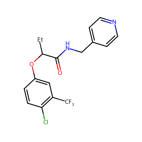 CCC(Oc1ccc(Cl)c(C(F)(F)F)c1)C(=O)NCc1ccncc1